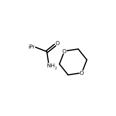 C1COCCO1.CC(C)C(N)=O